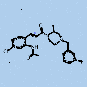 CC(=O)Nc1cc(Cl)ccc1/C=C/C(=O)N1CCN(Cc2cccc(F)c2)CC1C